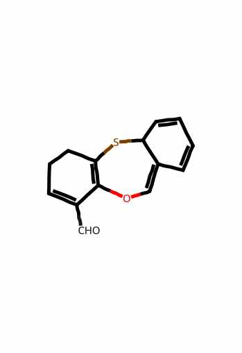 O=CC1=CCCC2=C1OC=C1C=CC=CC1S2